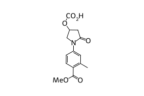 COC(=O)c1ccc(N2CC(OC(=O)O)CC2=O)cc1C